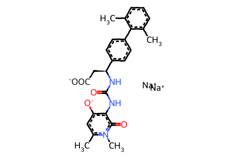 Cc1cccc(C)c1-c1ccc([C@H](CC(=O)[O-])NC(=O)Nc2c([O-])cc(C)n(C)c2=O)cc1.[Na+].[Na+]